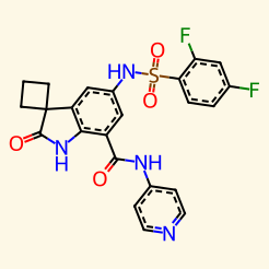 O=C(Nc1ccncc1)c1cc(NS(=O)(=O)c2ccc(F)cc2F)cc2c1NC(=O)C21CCC1